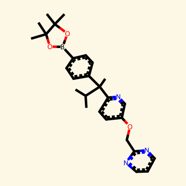 CC(C)C(C)(c1ccc(B2OC(C)(C)C(C)(C)O2)cc1)c1ccc(OCc2ncccn2)cn1